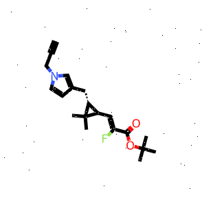 C#CCn1ccc(C[C@@H]2C(/C=C(\F)C(=O)OC(C)(C)C)C2(C)C)c1